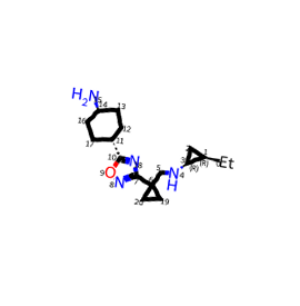 CC[C@@H]1C[C@H]1NCC1(c2noc([C@H]3CC[C@H](N)CC3)n2)CC1